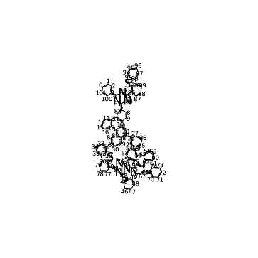 c1ccc(-c2nc(-c3cccc(-c4ccccc4-c4ccc(-c5ccccc5)c5ccc(-c6cccc7c6sc6c(-c8nc(-c9ccccc9)nc(-c9cccc(-c%10ccccc%10-c%10ccccc%10-c%10ccccc%10)c9)n8)cccc67)cc45)c3)nc(-c3cccc4c3sc3ccccc34)n2)cc1